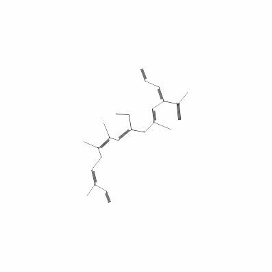 C=C/C=C(\C=C(/C)C/C(=C/C(N)=C(/C)C/C=C(/C)C=C)CC)C(=C)C